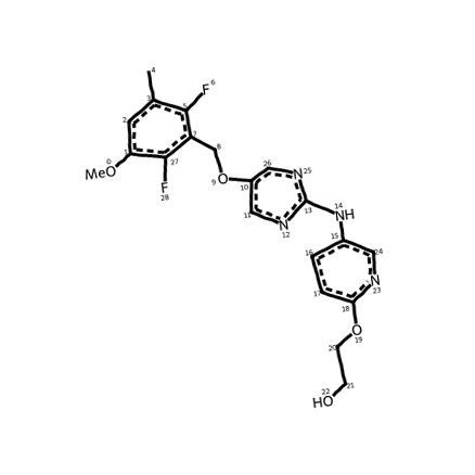 COc1cc(C)c(F)c(COc2cnc(Nc3ccc(OCCO)nc3)nc2)c1F